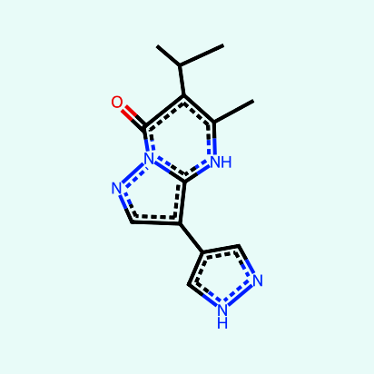 Cc1[nH]c2c(-c3cn[nH]c3)cnn2c(=O)c1C(C)C